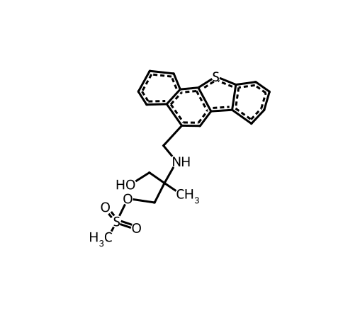 CC(CO)(COS(C)(=O)=O)NCc1cc2c3ccccc3sc2c2ccccc12